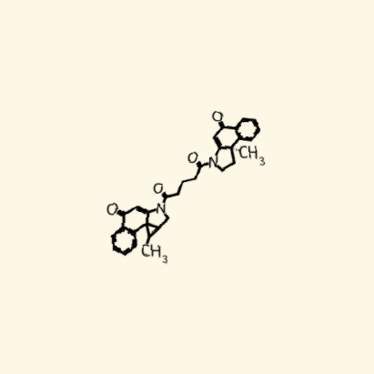 CC1C2CN(C(=O)CCCC(=O)N3CC[C@@]4(C)C3=CC(=O)c3ccccc34)C3=CC(=O)c4ccccc4C312